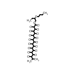 CCCCOC(CC)COC(Cl)C(Cl)C(Cl)C(Cl)C(Cl)C(Cl)C(Cl)C(Cl)C(Cl)C(Cl)C(Cl)C(Cl)C(Cl)C(Cl)C(Cl)C(Cl)C(C)C